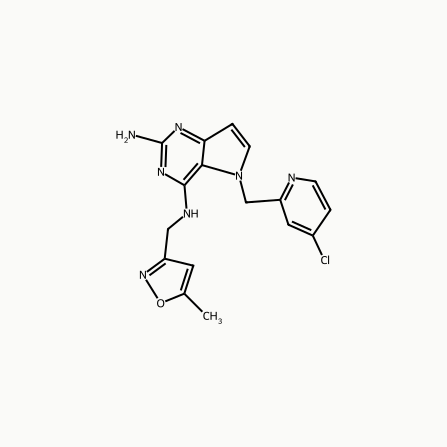 Cc1cc(CNc2nc(N)nc3ccn(Cc4cc(Cl)ccn4)c23)no1